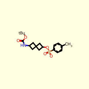 Cc1ccc(S(=O)(=O)OC2CC3(CC(NC(=O)OC(C)(C)C)C3)C2)cc1